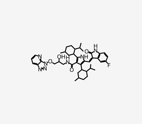 CC1CCC(C(C)C)C(c2[nH]c(C=C3C(=O)Nc4ccc(F)cc43)c(C3CC(C)CCC3C(C)C)c2C(=O)NCC(O)COn2nnc3cccnc32)C1